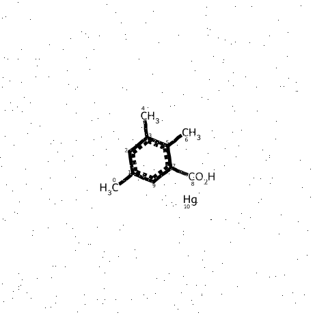 Cc1cc(C)c(C)c(C(=O)O)c1.[Hg]